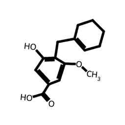 COc1cc(C(=O)O)cc(O)c1CC1=CCCCC1